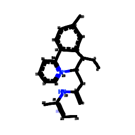 C=C(CC1C(CC)c2cc(C)ccc2-c2cccc[n+]21)N/C(C)=C\C